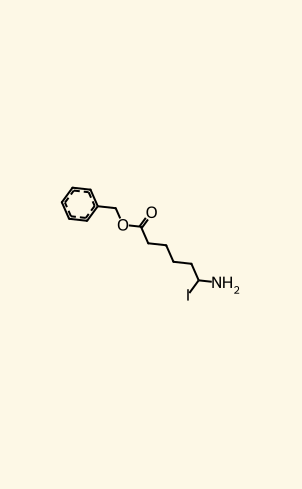 NC(I)CCCCC(=O)OCc1ccccc1